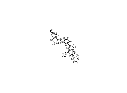 CNc1nc(-c2cccnc2)nc2ccc(-c3cccc(CCc4cccc5c4COC(=O)N5)c3)cc12